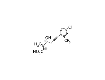 C[C@H](NC(=O)O)[C@@H](O)CC#Cc1ccc(Cl)cc1C(F)(F)F